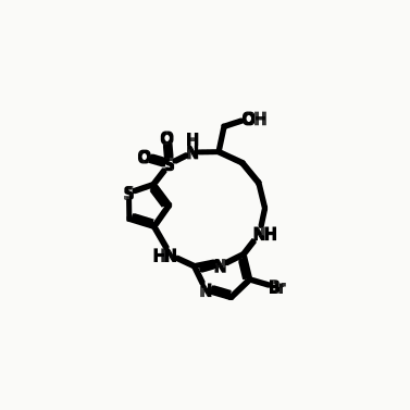 O=S1(=O)NC(CO)CCCNc2nc(ncc2Br)Nc2csc1c2